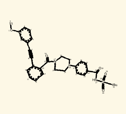 CCOc1cccc(C#Cc2ccccc2C(=O)N2CCN(c3ccc(C(=O)NS(=O)(=O)C(C)(C)C)cc3)CC2)c1